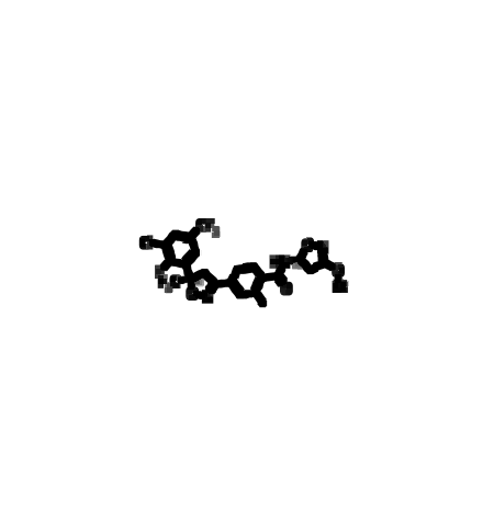 CCOC1=NO[C@H](NC(=O)c2ccc(C3=NO[C@@](c4cc(C(F)(F)F)cc(Cl)c4F)(C(F)(F)F)C3)cc2C)C1